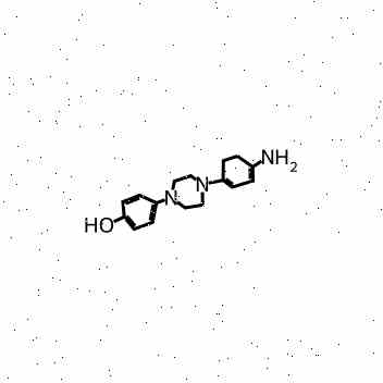 NC1=CC=C(N2CCN(c3ccc(O)cc3)CC2)CC1